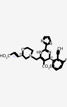 C#Cc1c(F)cccc1[C@@H]1N=C(c2nccs2)NC(CN2CCO[C@H](/C=C/C(=O)O)C2)=C1C(=O)OCC